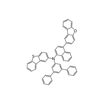 c1ccc(-c2cc(-c3ccccc3)cc(N(c3ccc4sc5ccccc5c4c3)c3ccc(-c4ccc5oc6ccccc6c5c4)c4ccccc34)c2)cc1